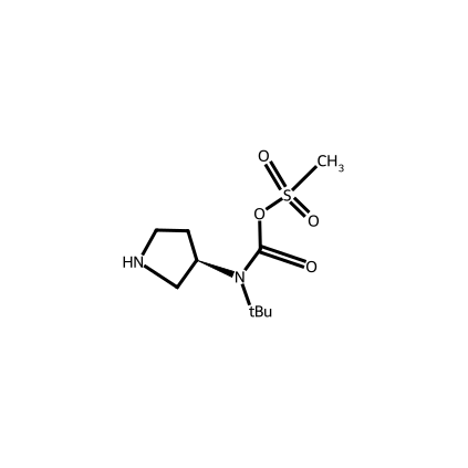 CC(C)(C)N(C(=O)OS(C)(=O)=O)[C@@H]1CCNC1